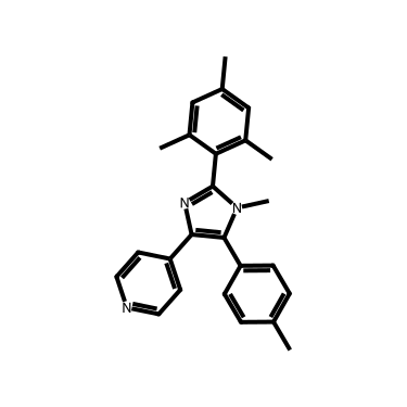 Cc1ccc(-c2c(-c3ccncc3)nc(-c3c(C)cc(C)cc3C)n2C)cc1